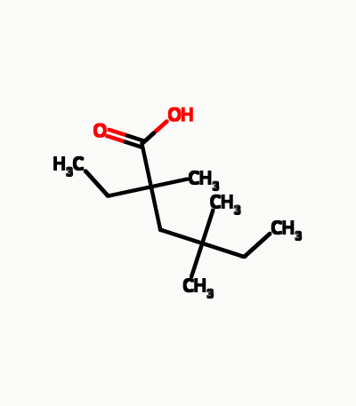 CCC(C)(C)CC(C)(CC)C(=O)O